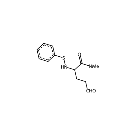 CNC(=O)C(CCC=O)NSc1ccccc1